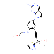 COCCNc1ccc(-n2ccc3cnc(N)nc32)cc1C#CC(C)(O)c1nccs1